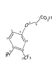 CC(C)c1ccc(OCC(=O)O)cc1C(F)(F)F